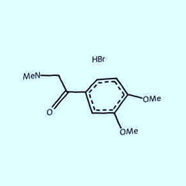 Br.CNCC(=O)c1ccc(OC)c(OC)c1